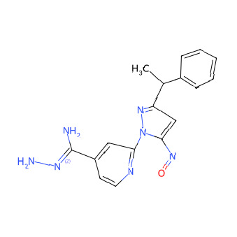 CC(c1ccccc1)c1cc(N=O)n(-c2cc(/C(N)=N/N)ccn2)n1